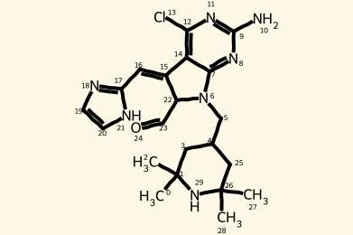 CC1(C)CC(CN2c3nc(N)nc(Cl)c3/C(=C/c3ncc[nH]3)C2C=O)CC(C)(C)N1